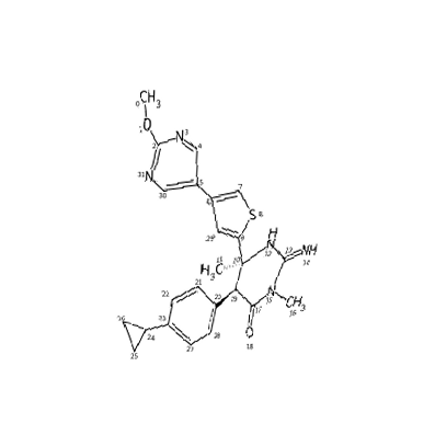 COc1ncc(-c2csc([C@@]3(C)NC(=N)N(C)C(=O)[C@H]3c3ccc(C4CC4)cc3)c2)cn1